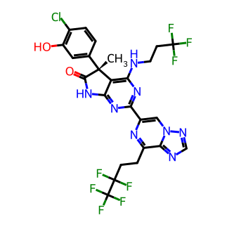 C[C@]1(c2ccc(Cl)c(O)c2)C(=O)Nc2nc(-c3cn4ncnc4c(CCC(F)(F)C(F)(F)F)n3)nc(NCCC(F)(F)F)c21